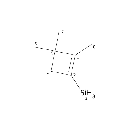 CC1=C([SiH3])CC1(C)C